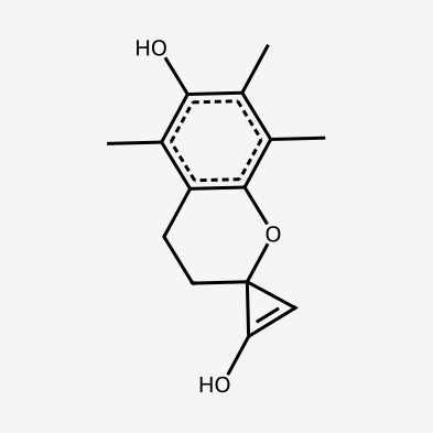 Cc1c(C)c2c(c(C)c1O)CCC1(C=C1O)O2